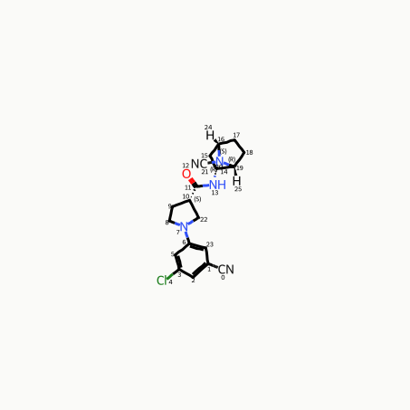 N#Cc1cc(Cl)cc(N2CC[C@H](C(=O)N[C@@H]3C[C@@H]4CC[C@H]3N4C#N)C2)c1